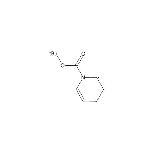 CC(C)(C)OC(=O)N1[CH]CCC=C1